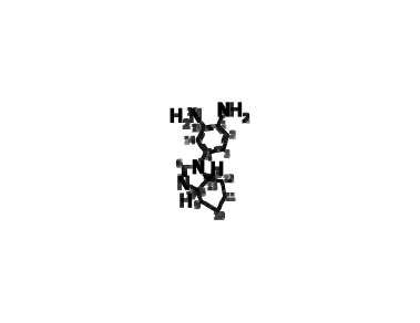 Nc1ccc(N2C=N[C@@H]3CCCC[C@H]32)cc1N